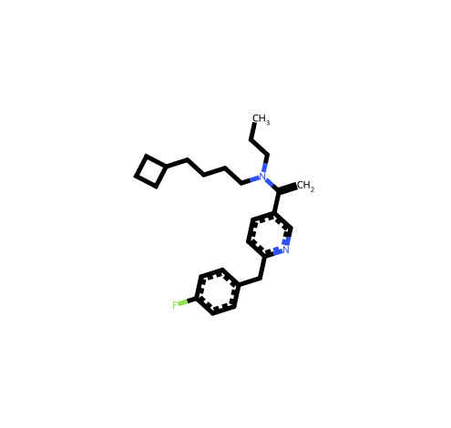 C=C(c1ccc(Cc2ccc(F)cc2)nc1)N(CCC)CCCCC1CCC1